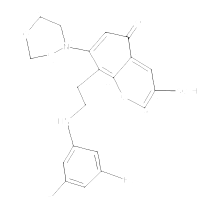 O=c1cc(N2CCOCC2)c(CCNc2cc(F)cc(F)c2)c2occ(S(=O)(=O)O)cc1-2